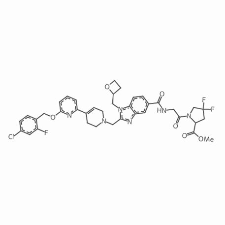 COC(=O)C1CC(F)(F)CN1C(=O)CNC(=O)c1ccc2c(c1)nc(CN1CC=C(c3cccc(OCc4ccc(Cl)cc4F)n3)CC1)n2C[C@@H]1CCO1